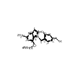 CCCCCOc1nc(N)nc2ccn(Cc3ccc(CO)cc3OC)c12